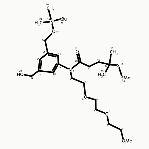 COCCOCCOCCN(C(=O)CCC(C)(C)SSC)c1cc(CO)cc(CO[Si](C)(C)C(C)(C)C)c1